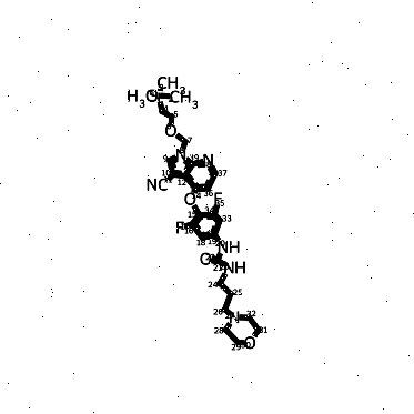 C[Si](C)(C)CCOCn1cc(C#N)c2c(Oc3c(F)cc(NC(=O)NCCCN4CCOCC4)cc3F)ccnc21